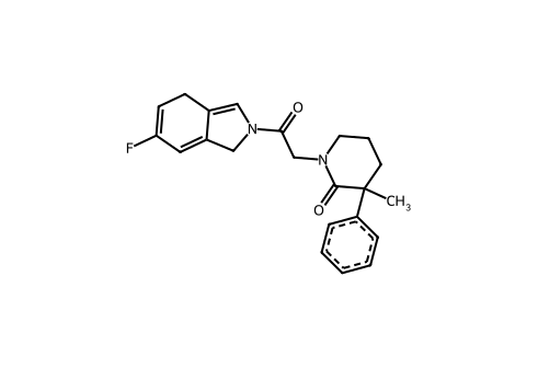 CC1(c2ccccc2)CCCN(CC(=O)N2C=C3CC=C(F)C=C3C2)C1=O